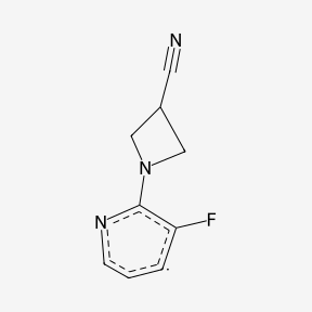 N#CC1CN(c2ncc[c]c2F)C1